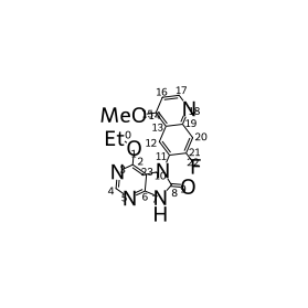 CCOc1ncnc2[nH]c(=O)n(-c3cc4c(OC)ccnc4cc3F)c12